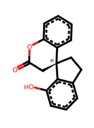 O=C1C[C@]2(CCc3cccc(O)c32)c2ccccc2O1